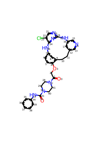 O=C(COc1ccc2cc1CCc1cncc(c1)Nc1ncc(Cl)c(n1)N2)N1CCN(C(=O)Nc2ccccc2)CC1